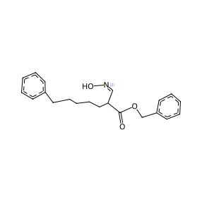 O=C(OCc1ccccc1)C(/C=N\O)CCCCCc1ccccc1